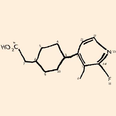 Cc1c(C2CCC(CC(=O)O)CC2)ccnc1F